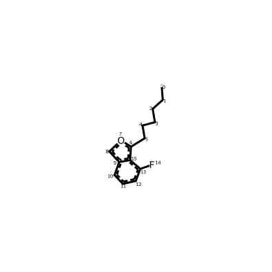 [CH2]CCCCCc1occ2cccc(F)c12